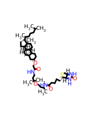 CC(C)CCC[C@@H](C)[C@H]1CC[C@H]2[C@@H]3CCC4C[C@@H](OCC(=O)NCCC(C)(C)OCCC(C)NC(=O)CCCC[C@@H]5SC[C@@H]6NC(=O)N[C@@H]65)CC[C@]4(C)[C@H]3CC[C@]12C